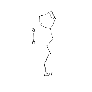 OCCCCC1C=CC=C1.[Cl][Zr]